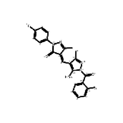 CC1=NN(c2ccc(F)cc2)C(=O)C1=Cc1c(C)nn(C(=O)c2ccccc2C)c1O